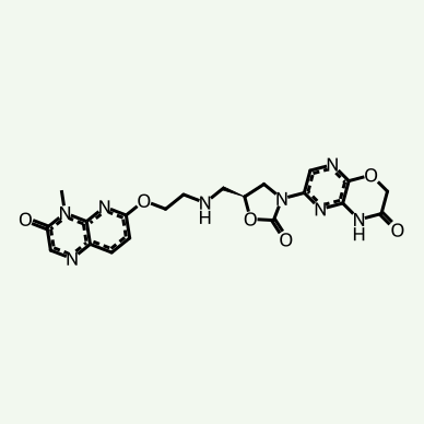 Cn1c(=O)cnc2ccc(OCCNC[C@H]3CN(c4cnc5c(n4)NC(=O)CO5)C(=O)O3)nc21